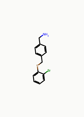 NCc1ccc(CSc2ccccc2Br)cc1